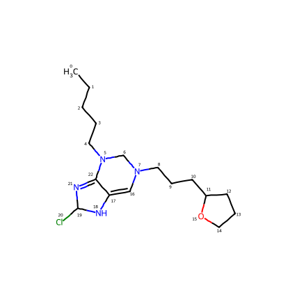 CCCCCN1CN(CCCC2CCCO2)C=C2NC(Cl)N=C21